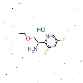 CCOCC(N)c1ncc(F)cc1F.Cl